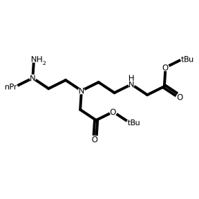 CCCN(N)CCN(CCNCC(=O)OC(C)(C)C)CC(=O)OC(C)(C)C